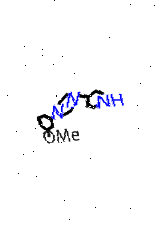 COc1cccc(N2CCN(CC3CCNCC3)CC2)c1